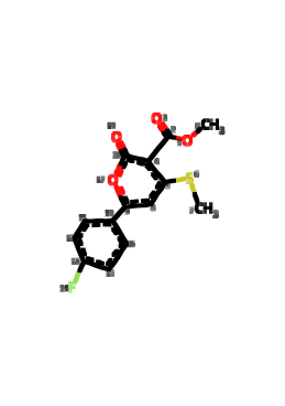 COC(=O)c1c(SC)cc(-c2ccc(F)cc2)oc1=O